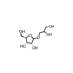 OCC(O)COC1O[C@H](CO)[C@@H](O)[C@H]1O